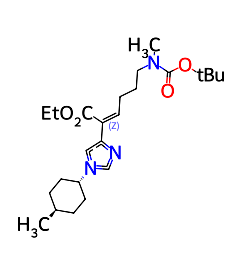 CCOC(=O)/C(=C\CCCN(C)C(=O)OC(C)(C)C)c1cn([C@H]2CC[C@H](C)CC2)cn1